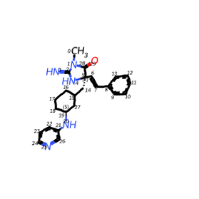 CN1C(=N)N[C@@](C=Cc2ccccc2)(CC2CCC[C@H](Nc3cccnc3)C2)C1=O